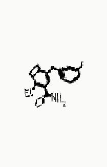 CCC1=C(C(N)=O)C=C(Cc2cccc(F)c2)C2CCC12